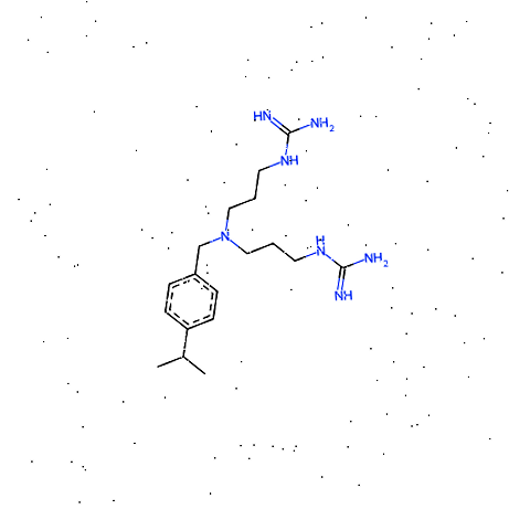 CC(C)c1ccc(CN(CCCNC(=N)N)CCCNC(=N)N)cc1